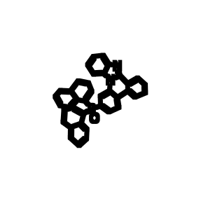 O=P(c1ccc2c3ccccc3c3nc4ccccc4n3c2c1)(c1cccc2ccccc12)c1cccc2ccccc12